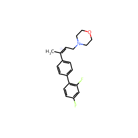 C/C(=C/CN1CCOCC1)c1ccc(-c2ccc(F)cc2F)cc1